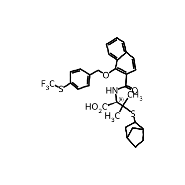 CC(C)(SC1CC2CCC1C2)[C@H](NC(=O)c1ccc2ccccc2c1OCc1ccc(SC(F)(F)F)cc1)C(=O)O